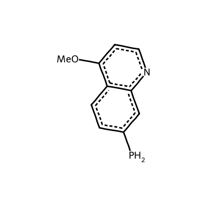 COc1ccnc2cc(P)ccc12